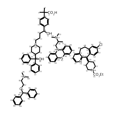 CC(C)(C(=O)O)c1ccc(C(O)CCCN2CCC(C(O)(c3ccccc3)c3ccccc3)CC2)cc1.CC(CN1c2ccccc2Sc2ccccc21)N(C)C.CCOC(=O)N1CCC(=C2c3ccc(Cl)cc3CCc3cccnc32)CC1.CN(C)CCOC(c1ccccc1)c1ccccc1